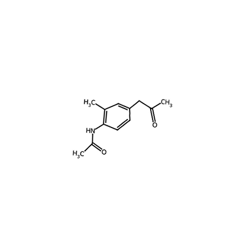 CC(=O)Cc1ccc(NC(C)=O)c(C)c1